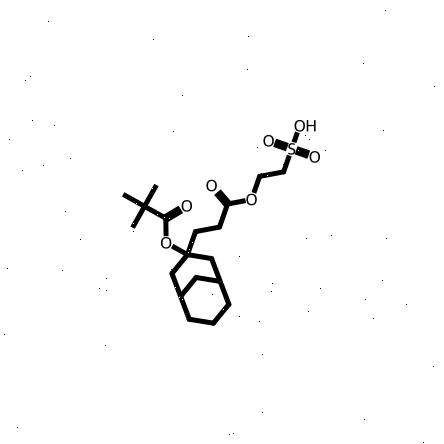 CC(C)(C)C(=O)OC1(CCC(=O)OCCS(=O)(=O)O)CC2CCCC(C2)C1